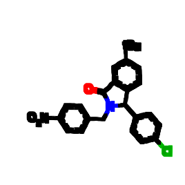 CC(C)(C)c1ccc2c(c1)C(=O)N(Cc1ccc([N+](=O)[O-])cc1)C2c1ccc(Cl)cc1